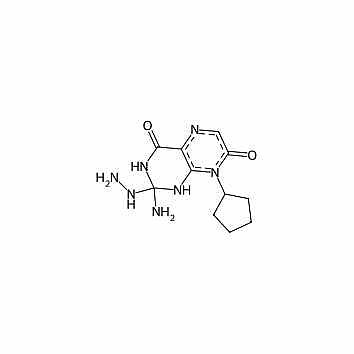 NNC1(N)NC(=O)c2ncc(=O)n(C3CCCC3)c2N1